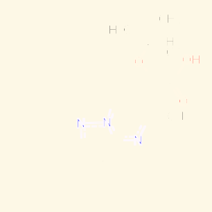 Cc1nc2cc(-c3ccccc3)nn2c(-c2ccccc2)c1C(OC(C)(C)C)C(=O)O